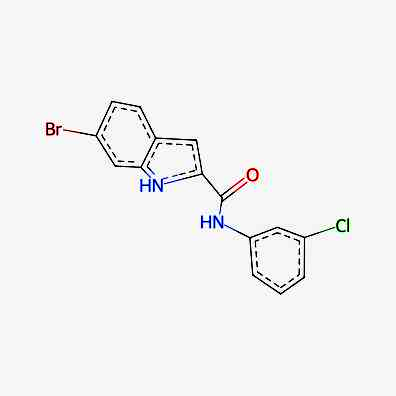 O=C(Nc1cccc(Cl)c1)c1cc2ccc(Br)cc2[nH]1